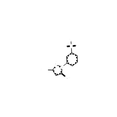 Cc1cc(=N)n(-c2cccc(S(=O)(=O)O)c2)[nH]1